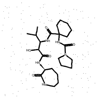 CC(C)C(NC(=O)C1(NC(=O)N2CCCC2)CCCCC1)C(O)C(=O)N[C@H]1CCCCNC1=O